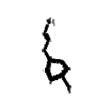 NC=CCc1ccc(F)cc1